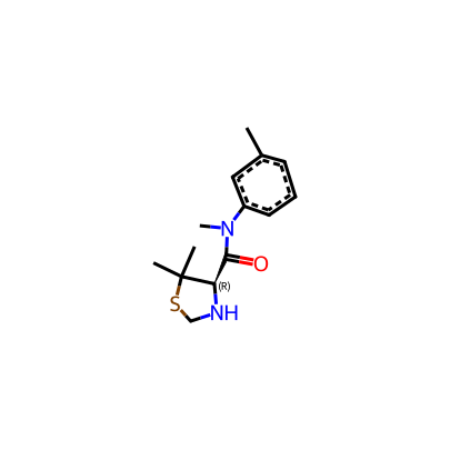 Cc1cccc(N(C)C(=O)[C@H]2NCSC2(C)C)c1